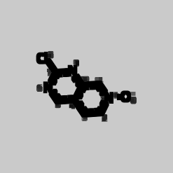 [O-][n+]1ccc2cnc(Cl)nc2c1